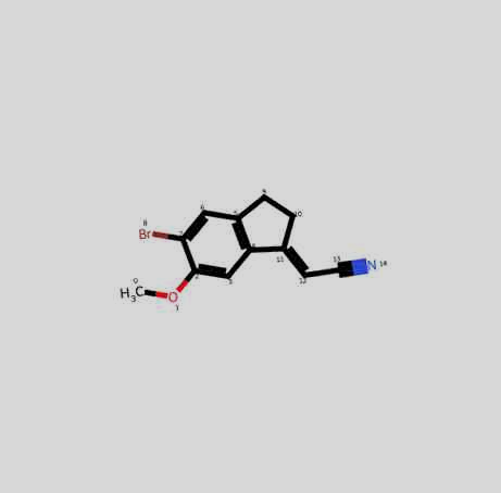 COc1cc2c(cc1Br)CCC2=CC#N